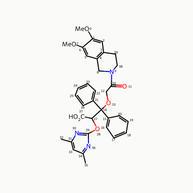 COc1cc2c(cc1OC)CN(C(=O)COC(c1ccccc1)(c1ccccc1)C(Oc1nc(C)cc(C)n1)C(=O)O)CC2